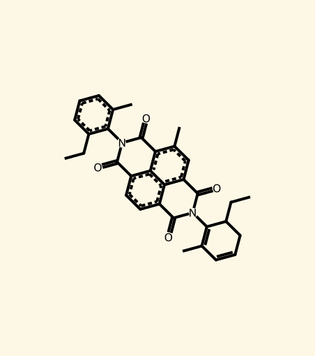 CCc1cccc(C)c1N1C(=O)c2ccc3c4c(cc(C)c(c24)C1=O)C(=O)N(C1=C(C)C=CCC1CC)C3=O